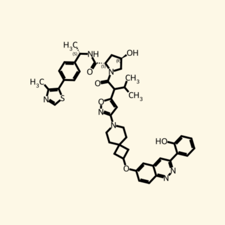 Cc1ncsc1-c1ccc([C@H](C)NC(=O)[C@@H]2C[C@@H](O)CN2C(=O)C(c2cc(N3CCC4(CC3)CC(Oc3ccc5nnc(-c6ccccc6O)cc5c3)C4)no2)C(C)C)cc1